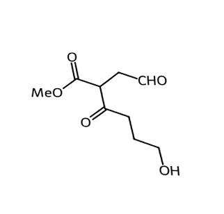 COC(=O)C(CC=O)C(=O)CCCO